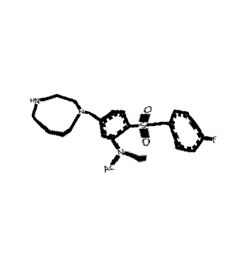 CC(=O)N(C)c1cc(N2CCCNCC2)ccc1S(=O)(=O)c1ccc(F)cc1